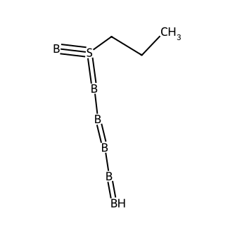 B#S(=BB=BB=B)CCC